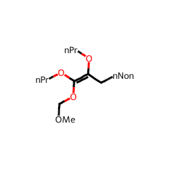 CCCCCCCCCCC(OCCC)=C(OCCC)OCOC